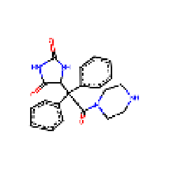 O=C1NC(=O)C(C(C(=O)N2CCNCC2)(c2ccccc2)c2ccccc2)N1